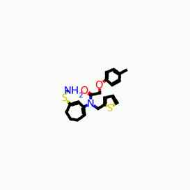 Cc1ccc(OCC(=O)N(Cc2cccs2)C2=CCCCC(SN)=C2)cc1